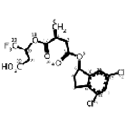 C=C(CC(=O)OC1CCc2c(Cl)cc(Cl)cc21)C(=O)O[C@@H](CC(=O)O)C(F)(F)F